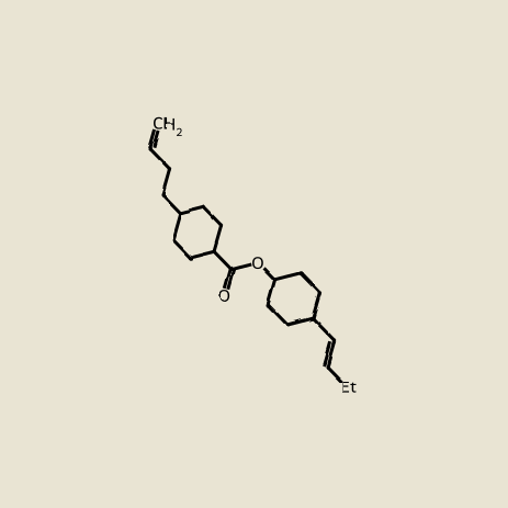 C=CCCC1CCC(C(=O)OC2CCC(C=CCC)CC2)CC1